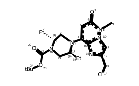 CC[C@@H]1CN(c2cc(=O)n(C)n3cc(CCl)nc23)[C@@H](CC)CN1C(=O)OC(C)(C)C